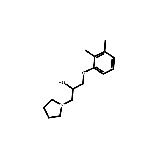 Cc1cccc(OCC(O)CN2CCCC2)c1C